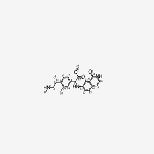 CNC[C@H](C)c1ccc(C(Nc2ccc3cc[nH]c(=O)c3c2)C(=O)OC)cc1C